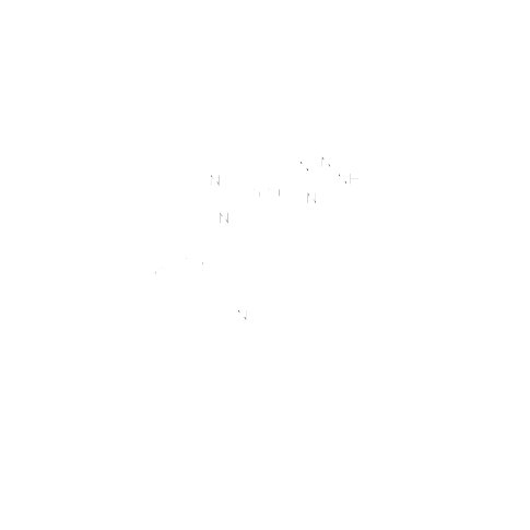 CCCCc1nc2cccc(C(=O)OCCN3CCCCC3)c2n1Cc1ccc(-c2ccccc2-c2nnn[nH]2)cc1